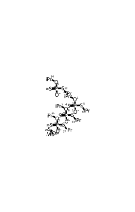 CC(C)OP([O-])(=S)SC(C)C.CC(C)OP([O-])(=S)SC(C)C.CC(C)OP([O-])(=S)SC(C)C.CC(C)OP([O-])(=S)SC(C)C.O=S.[Mo+4]